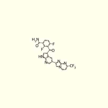 NC(=O)c1ccc(F)c(C(=O)c2c[nH]c3ncc(-c4cn5ccc(C(F)(F)F)nc5n4)cc23)c1F